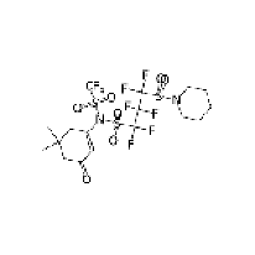 CC1(C)CC(=O)C=C(N(S(=O)(=O)C(F)(F)F)S(=O)(=O)C(F)(F)C(F)(F)C(F)(F)S(=O)(=O)N2CCCCC2)C1